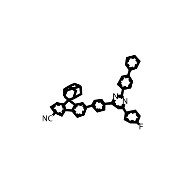 N#Cc1ccc2c(c1)-c1ccc(-c3ccc(-c4cc(-c5ccc(F)cc5)nc(-c5ccc(-c6ccccc6)cc5)n4)cc3)cc1C21C2CC3CC(C2)CC1C3